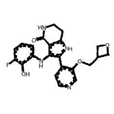 O=C1NCCc2[nH]c(-c3ccncc3OCC3COC3)c(Nc3cccc(F)c3O)c21